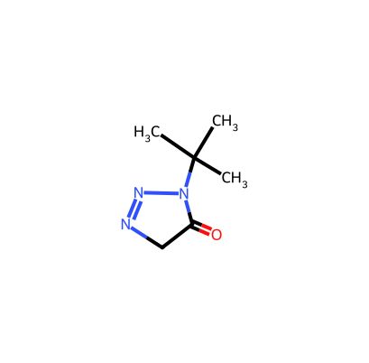 CC(C)(C)N1N=NCC1=O